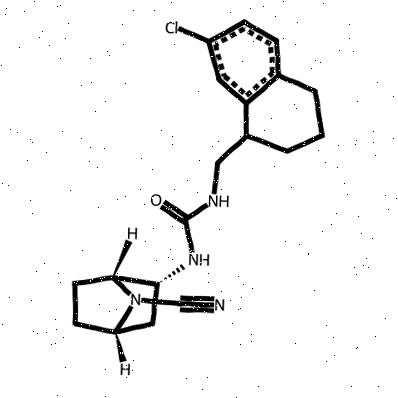 N#CN1[C@H]2CC[C@@H]1[C@H](NC(=O)NCC1CCCc3ccc(Cl)cc31)C2